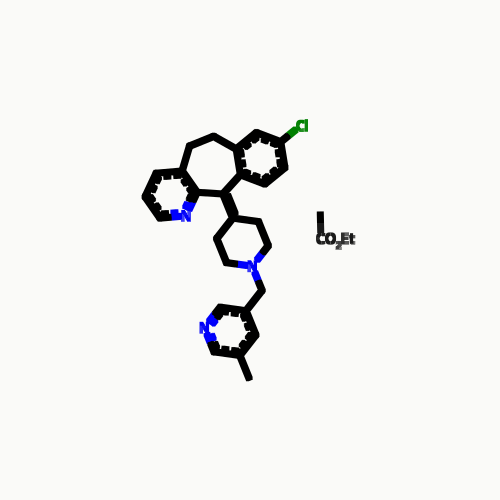 CCOC(C)=O.Cc1cncc(CN2CCC(=C3c4ccc(Cl)cc4CCc4cccnc43)CC2)c1